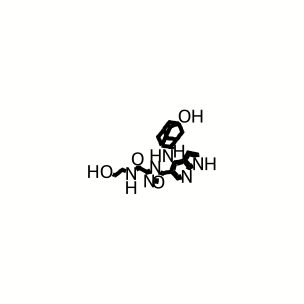 O=C(NCCO)c1noc(-c2cnc3[nH]ccc3c2N[C@H]2C3CC4CC2C[C@@](O)(C4)C3)n1